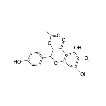 COc1c(O)cc2c(c1O)C(=O)C(OC(C)=O)C(c1ccc(O)cc1)O2